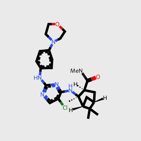 CNC(=O)[C@H]1C[C@H]2C[C@H](C2(C)C)[C@@]1(C)Nc1nc(Nc2ccc(N3CCOCC3)cc2)ncc1Cl